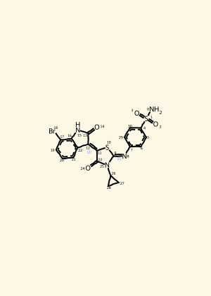 NS(=O)(=O)c1ccc(/N=C2\S/C(=C3\C(=O)Nc4c(Br)cccc43)C(=O)N2C2CC2)cc1